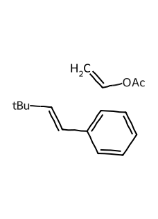 C=COC(C)=O.CC(C)(C)C=Cc1ccccc1